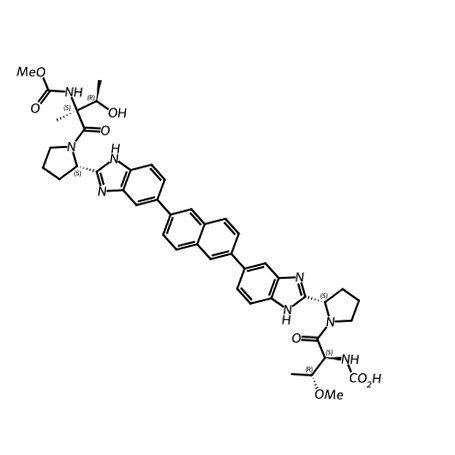 COC(=O)N[C@](C)(C(=O)N1CCC[C@H]1c1nc2cc(-c3ccc4cc(-c5ccc6[nH]c([C@@H]7CCCN7C(=O)[C@@H](NC(=O)O)[C@@H](C)OC)nc6c5)ccc4c3)ccc2[nH]1)[C@@H](C)O